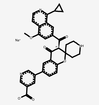 COc1cc(C(=O)[C@@H]2C(=O)c3cc(-c4cncc(C(=O)[O-])c4)ccc3OC23CCNCC3)cc2c(C3CC3)nccc12.[Na+]